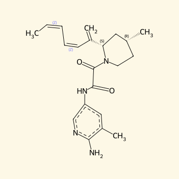 C=C(/C=C\C=C/C)[C@@H]1C[C@H](C)CCN1C(=O)C(=O)Nc1cnc(N)c(C)c1